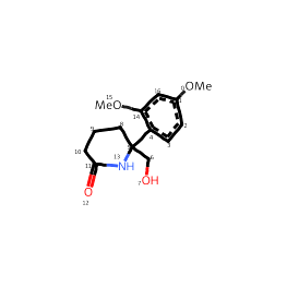 COc1ccc(C2(CO)CCCC(=O)N2)c(OC)c1